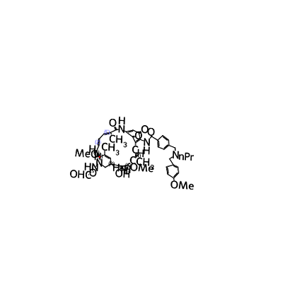 CCCN(Cc1ccc(OC)cc1)Cc1ccc(C(=O)NC2=C3C[C@@H](C)C[C@H](OC)[C@H](O)[C@@H]4C=C(C)[C@@H]([C@@H](OC)/C=C\C=C(/C)C(=O)NC(=CC2=O)C3=O)N(NOC=O)C4)cc1